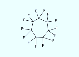 FC1(F)C(F)(F)C(F)(F)C(F)(F)C(F)(F)C(F)(F)C1(F)F